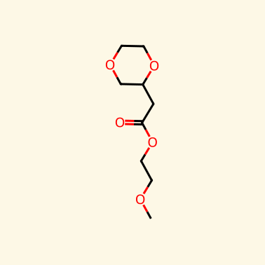 COCCOC(=O)CC1COCCO1